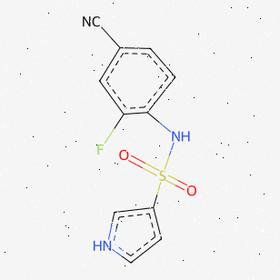 N#Cc1ccc(NS(=O)(=O)c2cc[nH]c2)c(F)c1